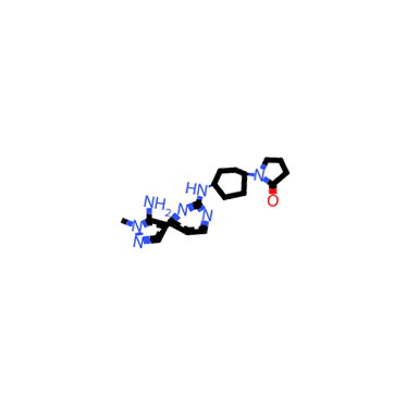 Cn1ncc(-c2ccnc(N[C@H]3CC[C@H](N4CCCC4=O)CC3)n2)c1N